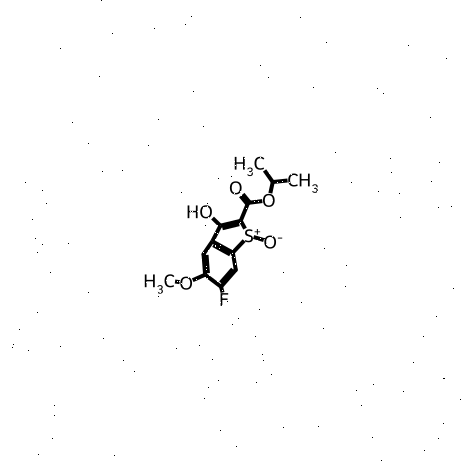 COc1cc2c(O)c(C(=O)OC(C)C)[s+]([O-])c2cc1F